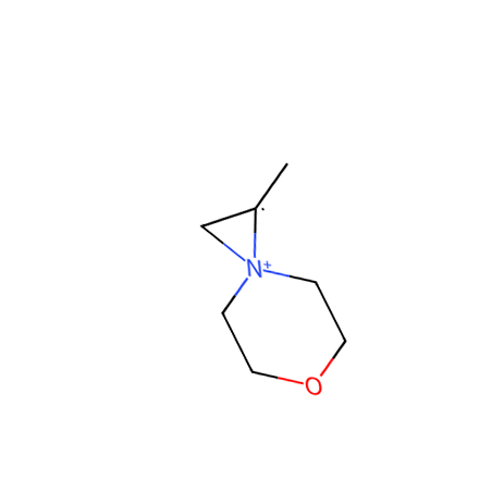 C[C]1C[N+]12CCOCC2